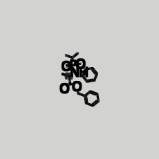 CC(C)P(=O)(N[C@H](C)C(=O)OCc1ccccc1)Oc1ccccc1